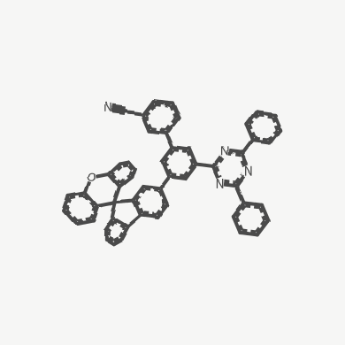 N#Cc1cccc(-c2cc(-c3ccc4c(c3)C3(c5ccccc5Oc5ccccc53)c3ccccc3-4)cc(-c3nc(-c4ccccc4)nc(-c4ccccc4)n3)c2)c1